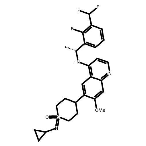 COc1cc2nccc(N[C@H](C)c3cccc(C(F)F)c3F)c2cc1C1CCS(=O)(=NC2CC2)CC1